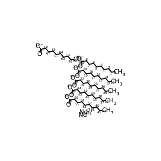 CCCCCCCCCC(=O)[O-].CCCCCCCCCC(=O)[O-].CCCCCCCCCC(=O)[O-].CCCCCCCCCC(=O)[O-].CCCCCCCCCC(=O)[O-].CCCCCCCCCC(=O)[O-].[Nd+3].[Nd+3]